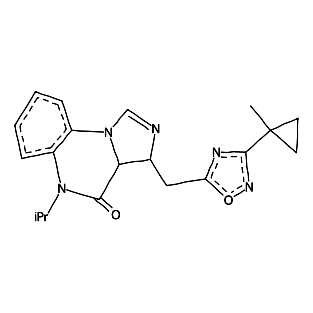 CC(C)N1C(=O)C2C(Cc3nc(C4(C)CC4)no3)N=CN2c2ccccc21